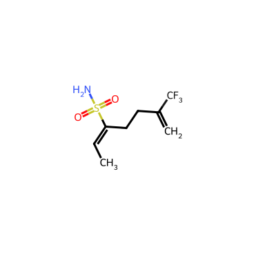 C=C(CC/C(=C\C)S(N)(=O)=O)C(F)(F)F